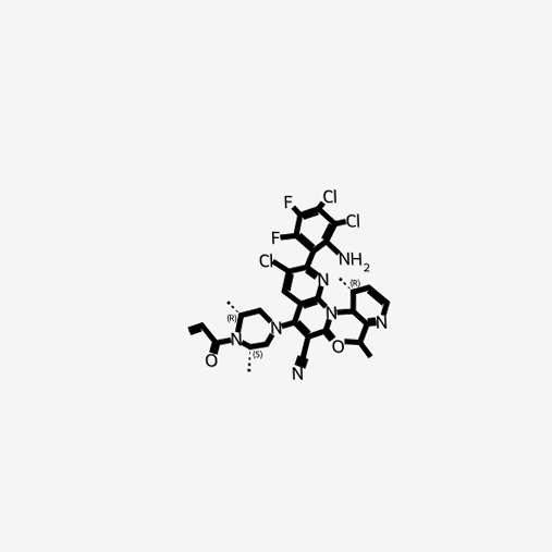 C=CC(=O)N1[C@H](C)CN(c2c(C#N)c(=O)n(C3C(C(C)C)=NC=C[C@H]3C)c3nc(-c4c(N)c(Cl)c(Cl)c(F)c4F)c(Cl)cc23)C[C@@H]1C